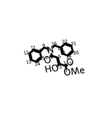 COC(=O)/C(O)=C/C(=O)N(Cc1ccccc1)Cc1ccccc1